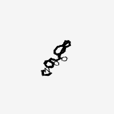 O=C(c1cc2ccc(N3CCCC3)cc2o1)C12CCCC3CC(CC3C1)C2